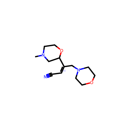 CN1CCOC(/C(=C\C#N)CN2CCOCC2)C1